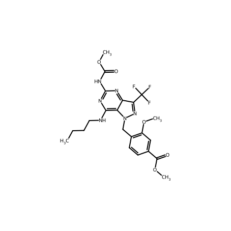 CCCCNc1nc(NC(=O)OC)nc2c(C(F)(F)F)nn(Cc3ccc(C(=O)OC)cc3OC)c12